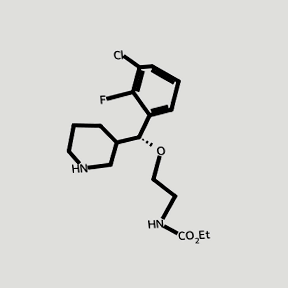 CCOC(=O)NCCO[C@@H](c1cccc(Cl)c1F)C1CCCNC1